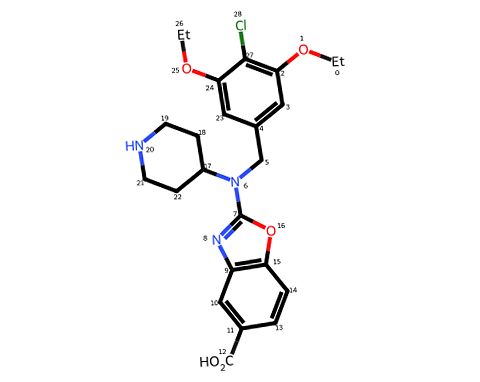 CCOc1cc(CN(c2nc3cc(C(=O)O)ccc3o2)C2CCNCC2)cc(OCC)c1Cl